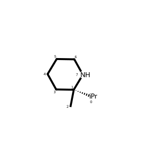 CC(C)[C@]1(C)CCCCN1